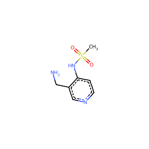 CS(=O)(=O)Nc1ccncc1CN